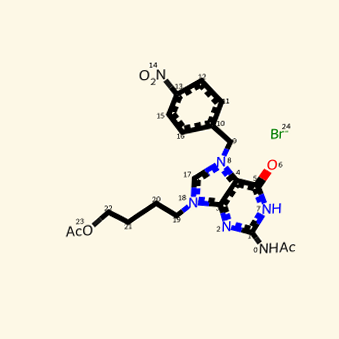 CC(=O)Nc1nc2c(c(=O)[nH]1)n(Cc1ccc([N+](=O)[O-])cc1)c[n+]2CCCCOC(C)=O.[Br-]